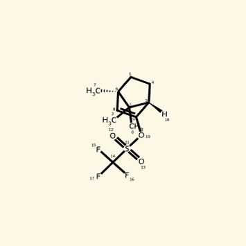 CC1(C)[C@@H]2CC[C@]1(C)C=C2OS(=O)(=O)C(F)(F)F